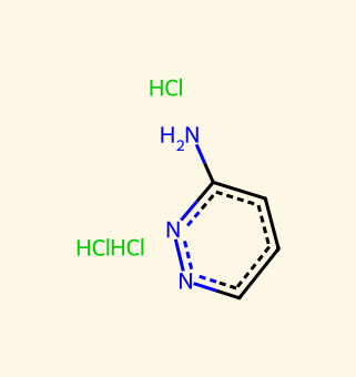 Cl.Cl.Cl.Nc1cccnn1